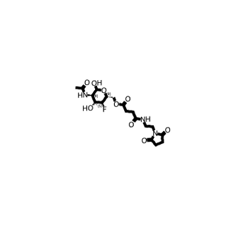 CC(=O)N[C@H]1C(O)O[C@H](COC(=O)CCC(=O)NCCN2C(=O)CCC2=O)[C@@H](F)[C@@H]1O